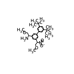 COCC(N)c1cc(-c2cc(C(C)(C)C)cc(C(C)(C)C)c2)cc(C(COC)[N+](=O)[O-])c1